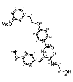 COc1cccc(CCOc2ccc(C(=O)N/C(=C\c3ccc(OC(C)C)cc3)C(=O)NCCO)cc2)c1